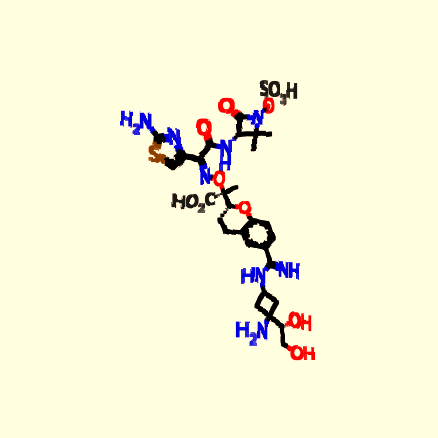 CC1(C)[C@H](NC(=O)/C(=N\O[C@](C)(C(=O)O)[C@H]2CCc3cc(C(=N)NC4CC(N)([C@H](O)CO)C4)ccc3O2)c2csc(N)n2)C(=O)N1OS(=O)(=O)O